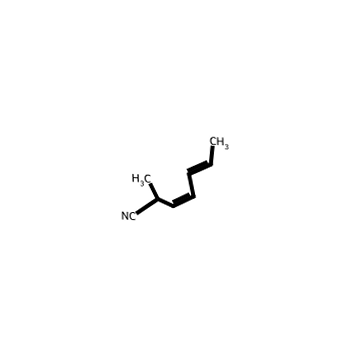 C/C=C/C=C\C(C)C#N